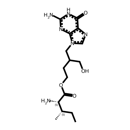 CC[C@H](C)[C@H](N)C(=O)OCCC(CO)Cn1cnc2c(=O)[nH]c(N)nc21